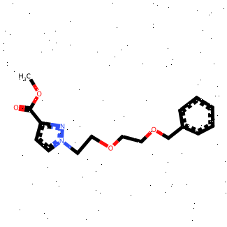 COC(=O)c1ccn(CCOCCOCc2ccccc2)n1